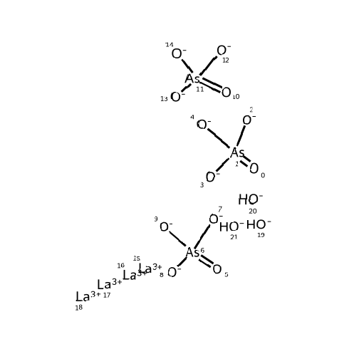 O=[As]([O-])([O-])[O-].O=[As]([O-])([O-])[O-].O=[As]([O-])([O-])[O-].[La+3].[La+3].[La+3].[La+3].[OH-].[OH-].[OH-]